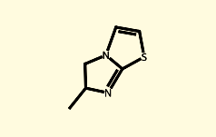 CC1CN2C=CSC2=N1